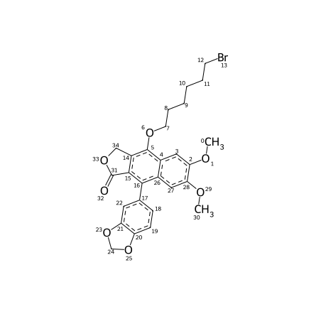 COc1cc2c(OCCCCCCBr)c3c(c(-c4ccc5c(c4)OCO5)c2cc1OC)C(=O)OC3